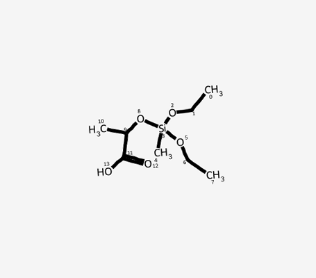 CCO[Si](C)(OCC)OC(C)C(=O)O